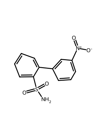 NS(=O)(=O)c1ccccc1-c1cccc([N+](=O)[O-])c1